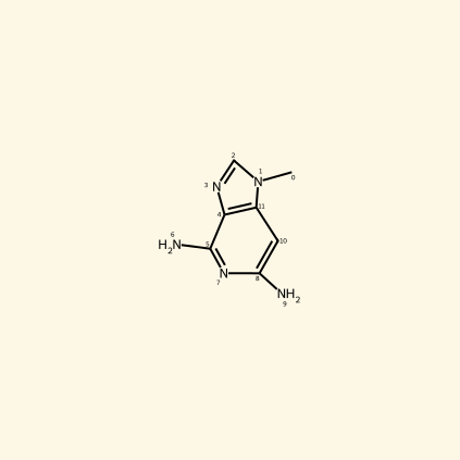 Cn1cnc2c(N)nc(N)cc21